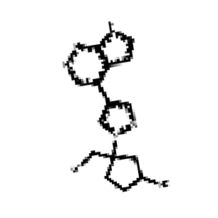 [C-]#[N+]C1CCC(CC#N)(n2cc(-c3cnnc4[nH]ccc34)cn2)C1